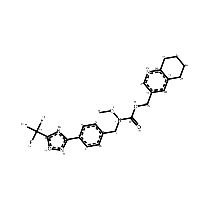 CON(Cc1ccc(-c2noc(C(F)(F)F)n2)cc1)C(=O)OCc1cnc2c(c1)CCCC2